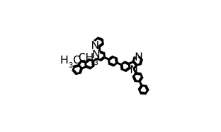 CC1(C)c2ccccc2-c2ccc(-c3cc(-c4ccc(-c5ccc6c(c5)c5cnccc5n6-c5ccc(-c6ccccc6)cc5)cc4)cc(-c4ccccn4)n3)cc21